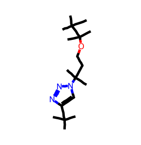 CC(C)(C)c1cn(C(C)(C)CCOC(C)(C)C(C)(C)C)nn1